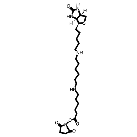 O=C1N[C@H]2[C@H](CS[C@H]2CCCCCNCCCCCCNCCCCCC(=O)ON2C(=O)CCC2=O)N1